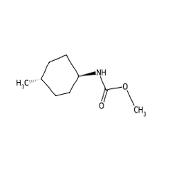 COC(=O)N[C@H]1CC[C@H](C)CC1